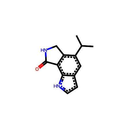 CC(C)c1cc2cc[nH]c2c2c1CNC2=O